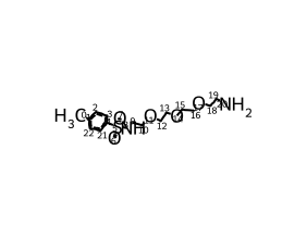 Cc1ccc(S(=O)(=O)NCCOCCOCCOCCN)cc1